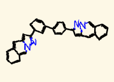 c1cc(-c2ccc(-c3cc4cc5ccccc5cn4n3)cc2)cc(-c2cc3cc4ccccc4cn3n2)c1